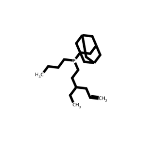 C=CCC(CC)CCP(CCCC)C12CC3CC(CC(C3)C1)C2